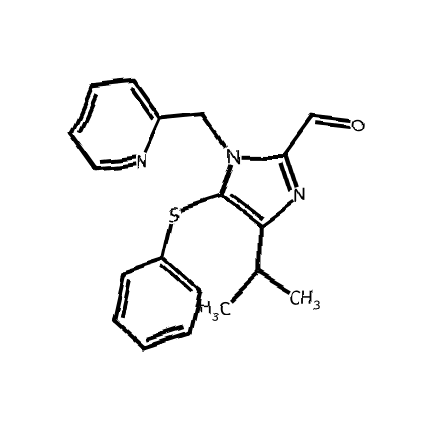 CC(C)c1nc(C=O)n(Cc2ccccn2)c1Sc1ccccc1